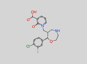 O=C(O)c1cccn(CC2CNCCOC2c2ccc(Cl)c(F)c2)c1=O